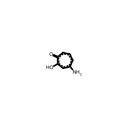 Nc1cccc(=O)c(O)c1